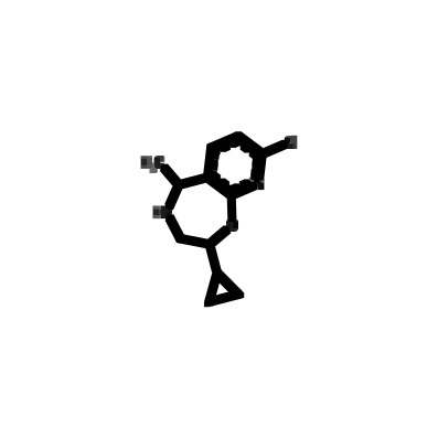 CC1NCC(C2CC2)Oc2nc(Cl)ccc21